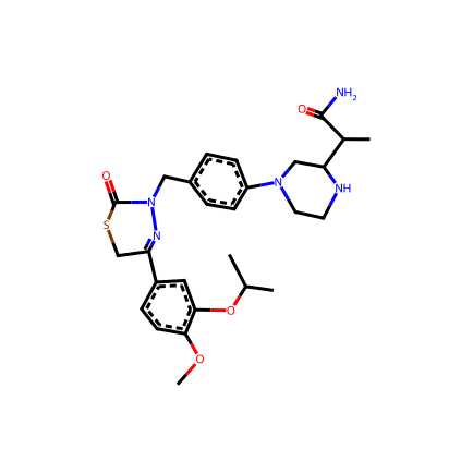 COc1ccc(C2=NN(Cc3ccc(N4CCNC(C(C)C(N)=O)C4)cc3)C(=O)SC2)cc1OC(C)C